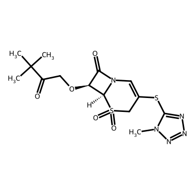 Cn1nnnc1SC1=CN2C(=O)[C@H](OCC(=O)C(C)(C)C)[C@@H]2S(=O)(=O)C1